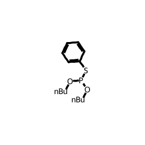 CCCCOP(OCCCC)Sc1ccccc1